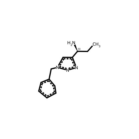 CC[C@H](N)c1cn(Cc2ccccc2)nn1